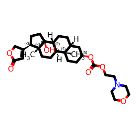 C[C@]12CC[C@H](OC(=O)OCCN3CCOCC3)C[C@H]1CC[C@@H]1[C@@H]2CC[C@]2(C)[C@@H](C3=CC(=O)OC3)[CH]C[C@]12O